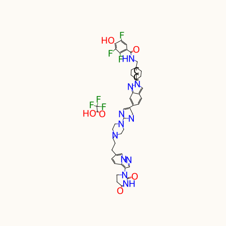 O=C(O)C(F)(F)F.O=C1CCN(c2cnn3cc(CCCN4CCN(c5ncc(-c6ccc7cn(C89CCC(CNC(=O)c%10cc(F)c(O)c(F)c%10F)(CC8)CC9)nc7c6)cn5)CC4)ccc23)C(=O)N1